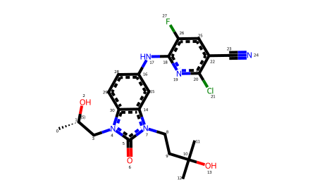 C[C@H](O)Cn1c(=O)n(CCC(C)(C)O)c2cc(Nc3nc(Cl)c(C#N)cc3F)ccc21